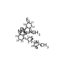 Cc1nc(-c2ccc([C@H]3N(C)c4ccc(F)cc4C(=O)N3c3ccccc3N)s2)cs1